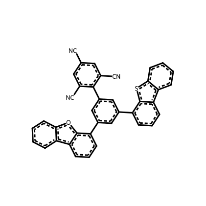 N#Cc1cc(C#N)c(-c2cc(-c3cccc4c3oc3ccccc34)cc(-c3cccc4c3sc3ccccc34)c2)c(C#N)c1